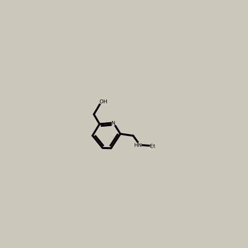 CCNCc1cccc(CO)n1